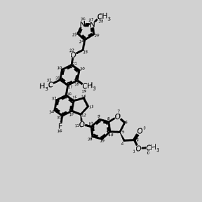 COC(=O)C[C@@H]1COc2cc(O[C@@H]3CCc4c(-c5c(C)cc(OCc6cnn(C)c6)cc5C)ccc(F)c43)ccc21